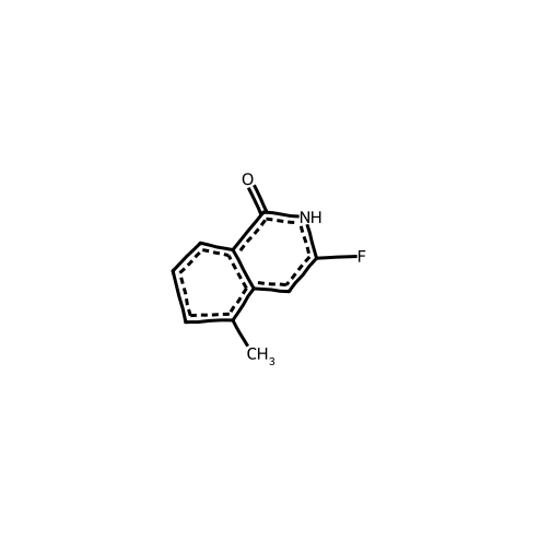 Cc1cccc2c(=O)[nH]c(F)cc12